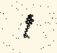 C=CCC/C=C/CCOc1ccc2cc(CCCC)oc(=O)c2c1F